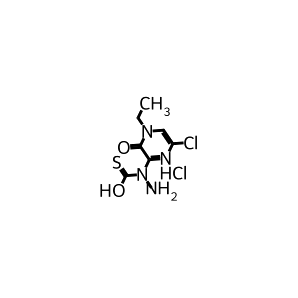 CCn1cc(Cl)nc(N(N)C(O)=S)c1=O.Cl